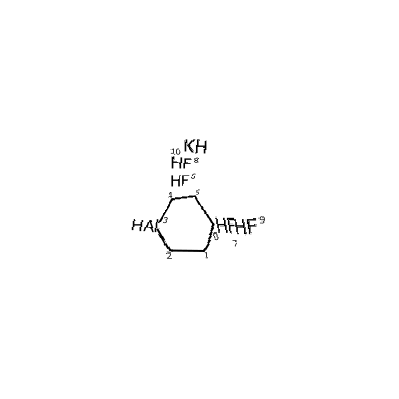 C1C[CH2][AlH][CH2]C1.F.F.F.F.[KH]